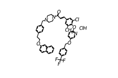 Cc1cc(C=CC(=O)N2CCN(Cc3ccc(CCOc4ccc5ccccc5c4)cc3)CC2)cc(Cl)c1Oc1ccc(OCc2ccc(C(F)(F)F)cc2)cn1.Cl